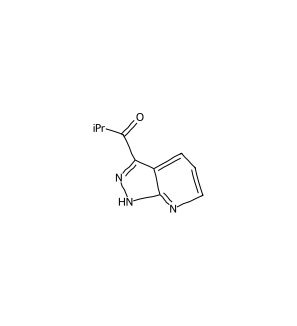 CC(C)C(=O)c1n[nH]c2ncccc12